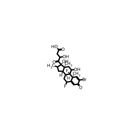 CC1C[C@H]2[C@@H]3CC(F)C4=CC(=O)C(Br)=C[C@]4(C)[C@@]3(F)C(O)C[C@]2(C)[C@@]1(O)C(=O)C(O)CC(=O)O